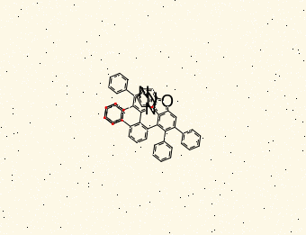 c1ccc(-c2cccc(-c3c(-c4ccccc4)c(-c4ccccc4)cc4oc5ccccc5c34)c2-c2nnnc(-c3ccccc3)c2-c2ccccc2)cc1